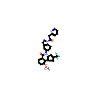 COc1cccc(C(=O)Nc2ccc3c(c2)CCN3C(=O)Cc2ccccn2)c1-c1ccc(C(F)(F)F)cc1